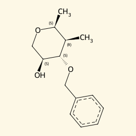 C[C@H]1[C@H](OCc2ccccc2)[C@@H](O)CO[C@H]1C